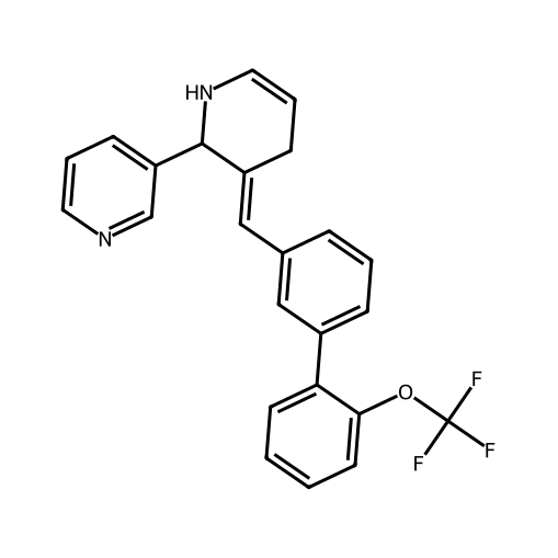 FC(F)(F)Oc1ccccc1-c1cccc(C=C2CC=CNC2c2cccnc2)c1